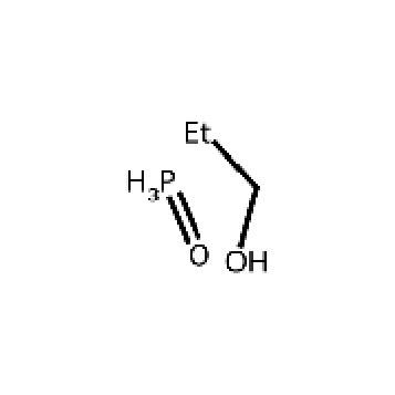 CCCO.O=[PH3]